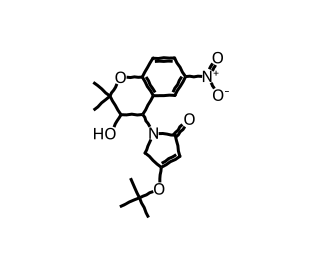 CC(C)(C)OC1=CC(=O)N(C2c3cc([N+](=O)[O-])ccc3OC(C)(C)C2O)C1